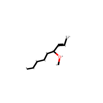 [Li]/[CH]=C/C(CCCCC)OC